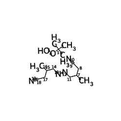 CC(C)(C)OO.CC(CC#N)CN=NCC(C)CC#N